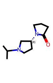 CC(C)N1CC[C@@H](N2CCCC2=O)C1